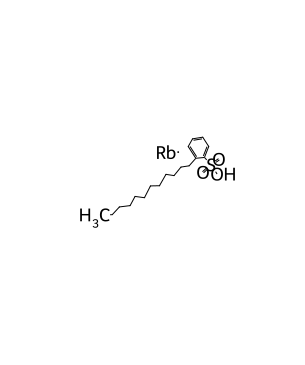 CCCCCCCCCCCCc1ccccc1S(=O)(=O)O.[Rb]